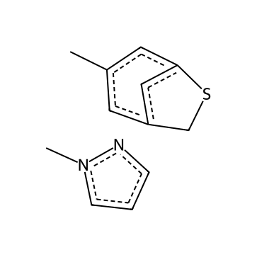 Cc1cc2cc(c1)SC2.Cn1cccn1